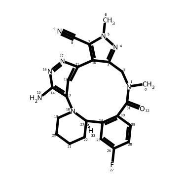 CN1Cc2nn(C)c(C#N)c2-c2cc(c(N)nn2)N2CCCC[C@@H]2c2cc(F)ccc2C1=O